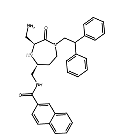 NC[C@@H]1N[C@H](CNC(=O)c2ccc3ccccc3c2)CCN(CC(c2ccccc2)c2ccccc2)C1=O